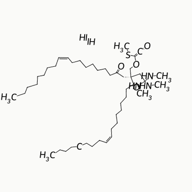 CCCCCCCC/C=C\CCCCCCCC(=O)C[C@](COC(=C=O)SC)(CC(NC)(NC)NC)C(=O)CCCCCCC/C=C\CCCCCCCC.I.I